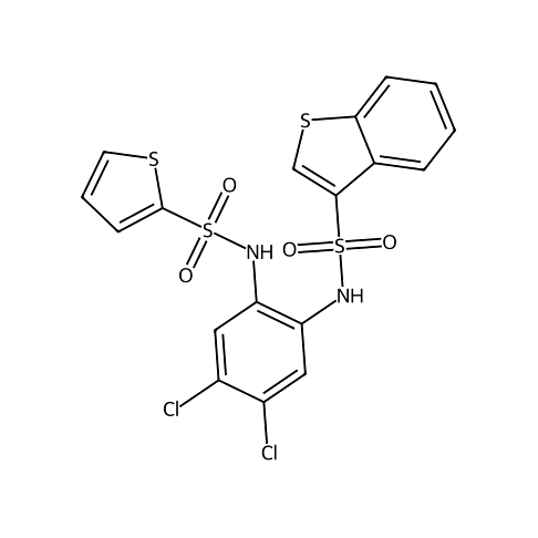 O=S(=O)(Nc1cc(Cl)c(Cl)cc1NS(=O)(=O)c1csc2ccccc12)c1cccs1